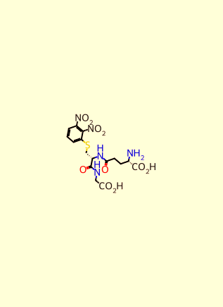 N[C@@H](CCC(=O)N[C@@H](CSc1cccc([N+](=O)[O-])c1[N+](=O)[O-])C(=O)NCC(=O)O)C(=O)O